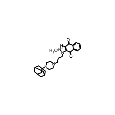 C[n+]1nc2c(n1CCCN1CCN(C34CC5CC(CC(C5)C3)C4)CC1)C(=O)c1ccccc1C2=O